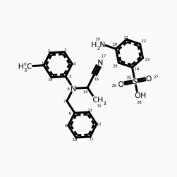 Cc1cccc(N(Cc2ccccc2)C(C)C#N)c1.Nc1cccc(S(=O)(=O)O)c1